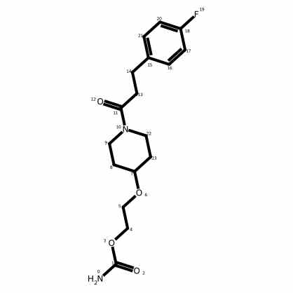 NC(=O)OCCOC1CCN(C(=O)[CH]Cc2ccc(F)cc2)CC1